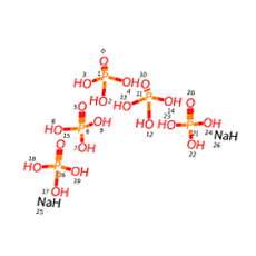 O=P(O)(O)O.O=P(O)(O)O.O=P(O)(O)O.O=P(O)(O)O.O=P(O)(O)O.[NaH].[NaH]